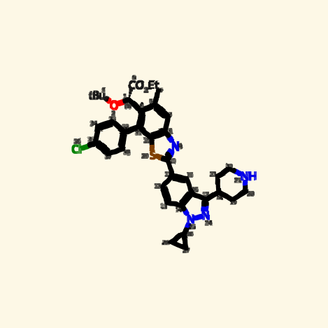 CCOC(=O)[C@@H](OC(C)(C)C)c1c(C)cc2nc(-c3ccc4c(c3)c(C3CCNCC3)nn4C3CC3)sc2c1-c1ccc(Cl)cc1